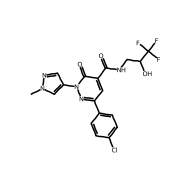 Cn1cc(-n2nc(-c3ccc(Cl)cc3)cc(C(=O)NCC(O)C(F)(F)F)c2=O)cn1